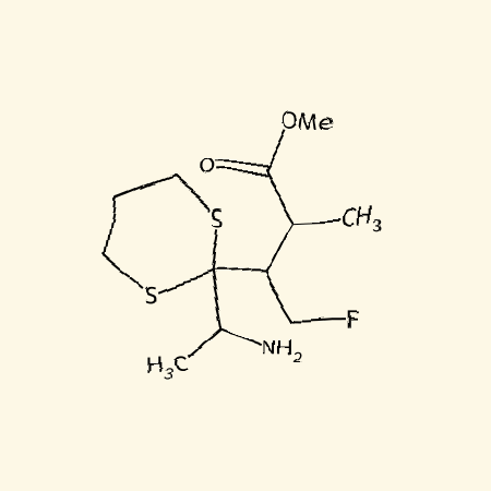 COC(=O)C(C)C(CF)C1(C(C)N)SCCCS1